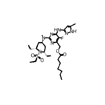 CCCCCCC(=O)OCc1nc(N(C)[C@@H]2C[C@@H](CC)N(S(=O)(=O)CC)[C@@H](CC)C2)nc(Nc2cc(C)[nH]n2)c1F